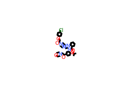 CC(C)Oc1ccc(C(=O)CN2CCOCC2)cc1N1C(=O)c2ccccc2NC1CN1CCN(C(=O)COc2ccc(Cl)cc2)CC1